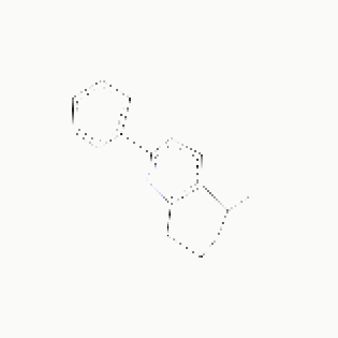 N#CC1CCCc2nc(-c3ccccc3)ccc21